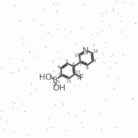 OB(O)c1ccc(-c2cccnc2)c(F)c1